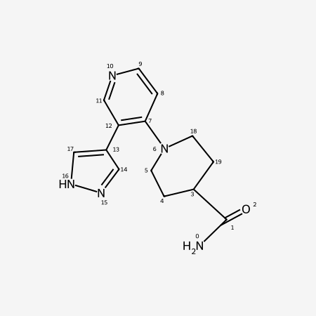 NC(=O)C1CCN(c2ccncc2-c2cn[nH]c2)CC1